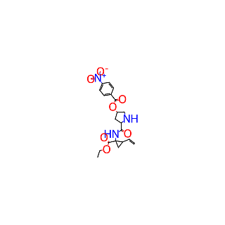 C=CC1CC1(NC(=O)C1CC(OC(=O)c2ccc([N+](=O)[O-])cc2)CN1)C(=O)OCC